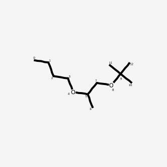 CCCCOC(C)COC(C)(C)C